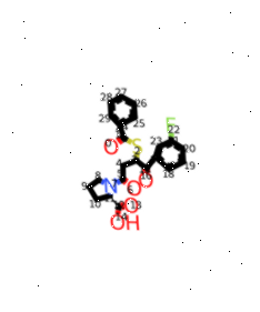 O=C(SC(CC(=O)N1CCC[C@H]1C(=O)O)C(=O)c1cccc(F)c1)c1ccccc1